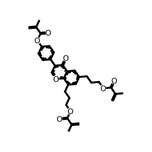 C=C(C)C(=O)OCCCc1cc(CCCOC(=O)C(=C)C)c2occ(-c3ccc(OC(=O)C(=C)C)cc3)c(=O)c2c1